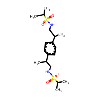 CC(CNS(=O)(=O)C(C)C)c1ccc(C(C)CNS(=O)(=O)C(C)C)cc1